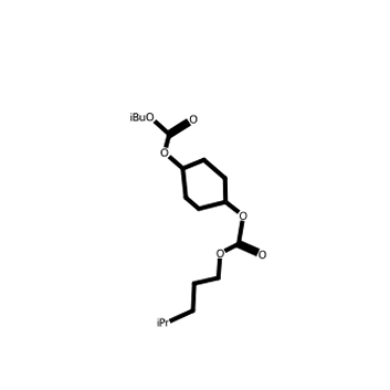 CC(C)CCCOC(=O)OC1CCC(OC(=O)OCC(C)C)CC1